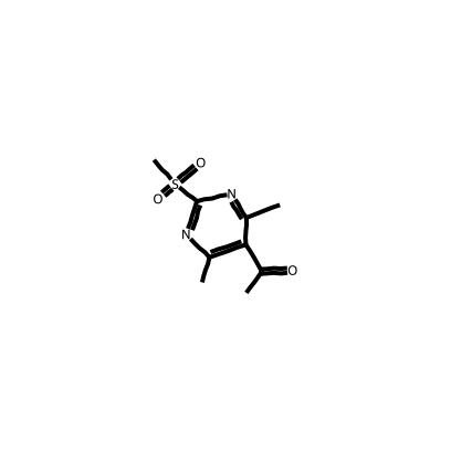 CC(=O)c1c(C)nc(S(C)(=O)=O)nc1C